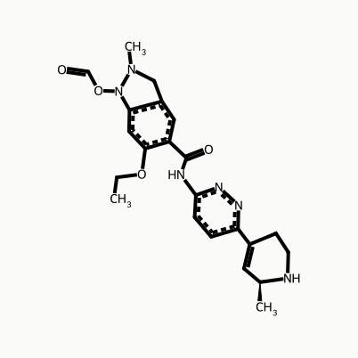 CCOc1cc2c(cc1C(=O)Nc1ccc(C3=C[C@H](C)NCC3)nn1)CN(C)N2OC=O